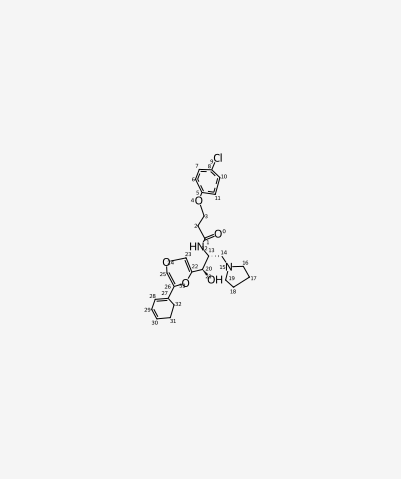 O=C(CCOc1ccc(Cl)cc1)N[C@H](CN1CCCC1)[C@@H](O)C1=COC=C(C2=CC=CCC2)O1